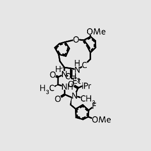 CC/C=C1\NCCc2ccc(OC)c(c2)Oc2ccc(cc2)C[C@@H]1N(C)C(=O)[C@H](C)NC(=O)[C@H](Cc1ccc(OC)c(F)c1)N(C)C(=O)C(C)C